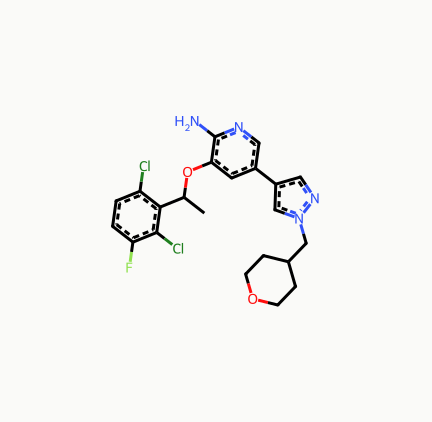 CC(Oc1cc(-c2cnn(CC3CCOCC3)c2)cnc1N)c1c(Cl)ccc(F)c1Cl